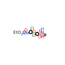 CCOC(=O)C(=O)Nc1cc(Cl)c(Oc2ccc(O)c(S(=O)(=O)NC3CCC3)c2)c(Cl)c1